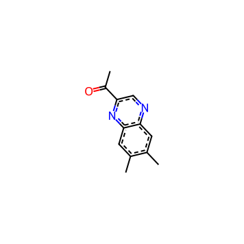 CC(=O)c1cnc2cc(C)c(C)cc2n1